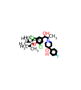 CC(C)[Si](Oc1c(Cl)cc([C@@H](O)[C@@H](C)N2CCC(O)(c3ccc(F)cc3)CC2)cc1Cl)(C(C)C)C(C)C